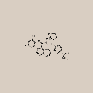 Cc1cc(Cl)cc(-c2cnc3ccc(-c4nc(C(N)=O)ccc4F)cc3c2C(=O)N(C)C[C@@H]2CCCN2)c1